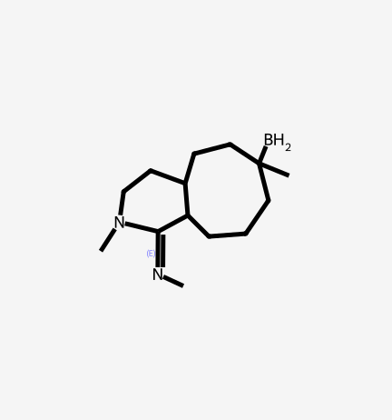 BC1(C)CCCC2/C(=N\C)N(C)CCC2CC1